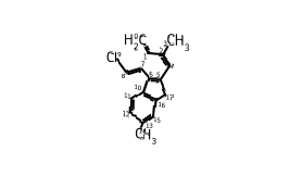 C=C/C(C)=C\C1=C(/C=C/Cl)c2ccc(C)cc2C1